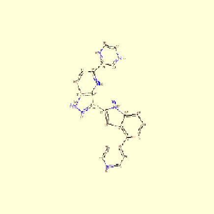 c1cc(-c2ccncc2)c2cc(-c3n[nH]c4ccc(-c5cnccn5)nc34)[nH]c2c1